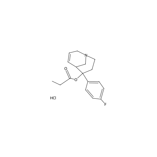 CCC(=O)OC1(c2ccc(F)cc2)CCN2CC=CC1C2.Cl